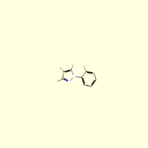 Cc1nn(-c2ccccc2Cl)c(Cl)c1C=O